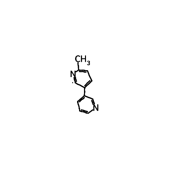 Cc1ccc(-c2cccnc2)[c]n1